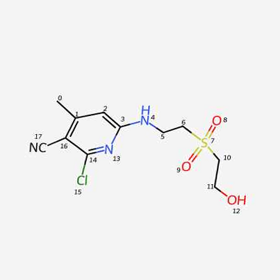 Cc1cc(NCCS(=O)(=O)CCO)nc(Cl)c1C#N